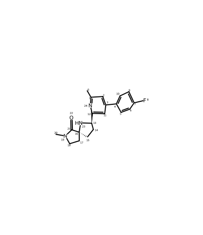 Cc1cc(-c2ccc(F)cc2)cc([C@H]2CC[C@@]3(CCN(C)C3=O)N2)n1